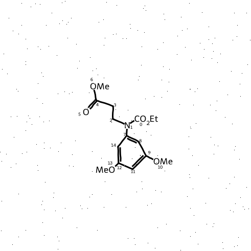 CCOC(=O)N(CCC(=O)OC)c1cc(OC)cc(OC)c1